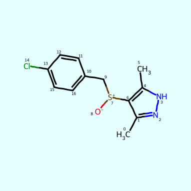 Cc1n[nH]c(C)c1[S+]([O-])Cc1ccc(Cl)cc1